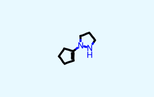 C1=C(N2CCCN2)CCC1